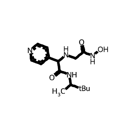 CC(NC(=O)C(NCC(=O)NO)c1ccncc1)C(C)(C)C